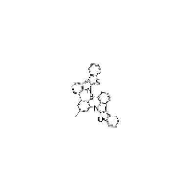 Cc1cc2c3c(c1)-n1c4oc5ccccc5c4c4cccc(c41)B3n1c3sc4ccccc4c3c3cccc-2c31